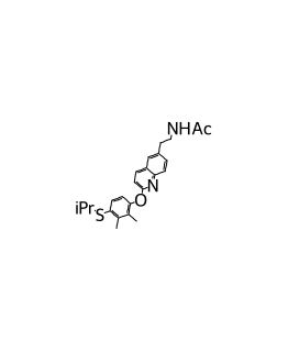 CC(=O)NCCc1ccc2nc(Oc3ccc(SC(C)C)c(C)c3C)ccc2c1